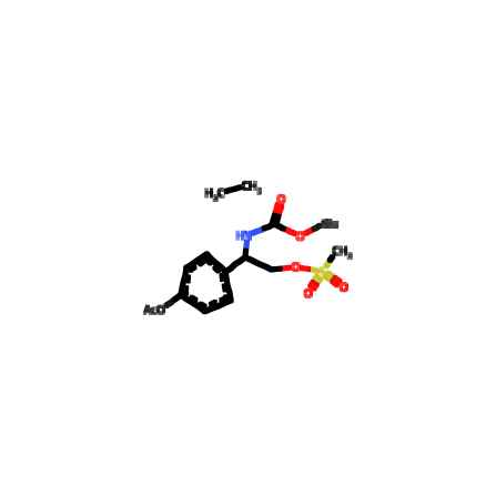 CC.CC(=O)Oc1ccc(C(COS(C)(=O)=O)NC(=O)OC(C)(C)C)cc1